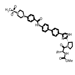 COC(=O)N[C@H](C(=O)N1CCC[C@H]1c1nc(-c2ccc(-c3ccc(NC(=O)c4ccc(N5CCN(S(C)(=O)=O)CC5)cc4)cc3)cc2)c[nH]1)C(C)C